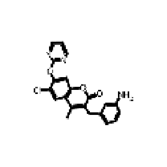 Cc1c(Cc2cccc(N)c2)c(=O)oc2cc(Oc3ncccn3)c(Cl)cc12